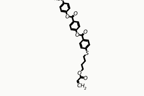 C=CC(=O)OCCCCSc1ccc(C(=O)Oc2ccc(C(=O)Oc3ccc(CCCC)cc3)cc2)cc1